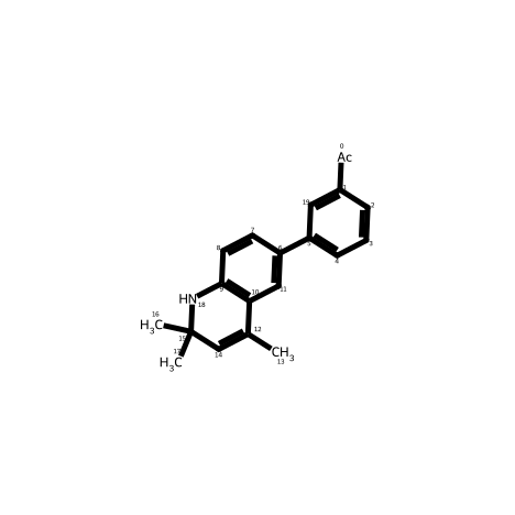 CC(=O)c1cccc(-c2ccc3c(c2)C(C)=CC(C)(C)N3)c1